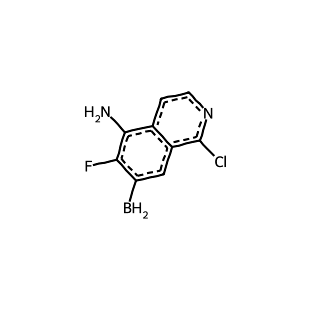 Bc1cc2c(Cl)nccc2c(N)c1F